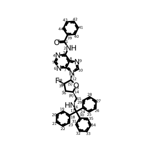 O=C(Nc1ncnc2c1ncn2[C@H]1O[C@@H](CNC(c2ccccc2)(c2ccccc2)c2ccccc2)[CH][C@H]1F)c1ccccc1